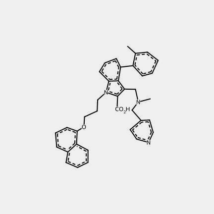 Cc1ccccc1-c1cccc2c1c(CN(C)Cc1ccncc1)c(C(=O)O)n2CCCOc1cccc2ccccc12